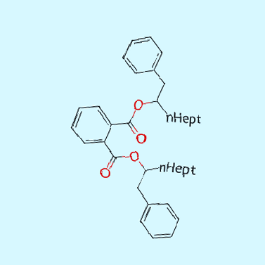 CCCCCCCC(Cc1ccccc1)OC(=O)c1ccccc1C(=O)OC(CCCCCCC)Cc1ccccc1